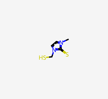 Cn1ccn(CS)c1=S